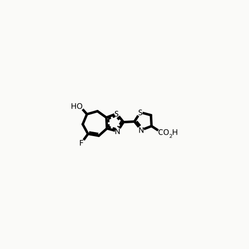 O=C(O)C1CSC(c2nc3c(s2)CC(O)CC(F)=C3)=N1